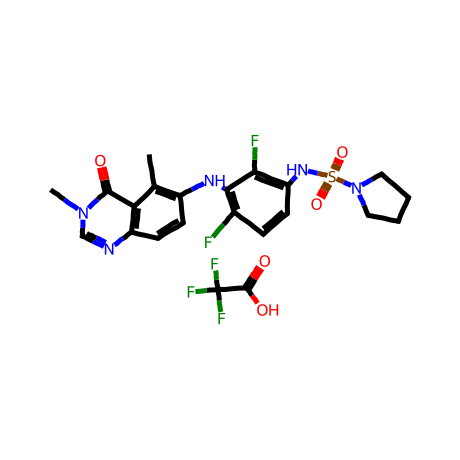 Cc1c(Nc2c(F)ccc(NS(=O)(=O)N3CCCC3)c2F)ccc2ncn(C)c(=O)c12.O=C(O)C(F)(F)F